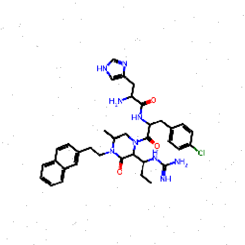 CC[C@H](NC(=N)N)C1C(=O)N(CCc2ccc3ccccc3c2)C(C)CN1C(=O)C(Cc1ccc(Cl)cc1)NC(=O)C(N)Cc1c[nH]cn1